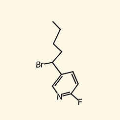 CCCCC(Br)c1ccc(F)nc1